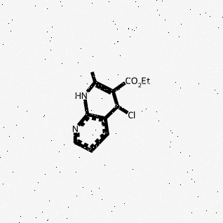 CCOC(=O)C1=C(C)Nc2ncccc2C1Cl